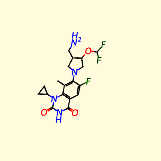 Cc1c(N2CC(CN)C(OC(F)F)C2)c(F)cc2c(=O)[nH]c(=O)n(C3CC3)c12